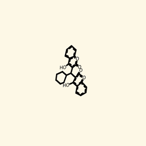 O=c1oc2ccccc2c(O)c1C(c1c(O)c2ccccc2oc1=O)C1CCCCC1